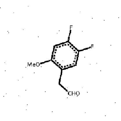 COc1cc(F)c(F)cc1CC=O